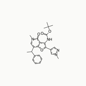 CC(c1ccccc1)c1cn(C)c(=O)c2c(NC(=O)OC(C)(C)C)c(-c3cnn(C)c3)oc12